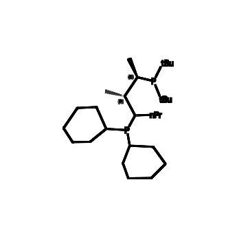 CCCC([C@H](C)[C@@H](C)P(C(C)(C)C)C(C)(C)C)P(C1CCCCC1)C1CCCCC1